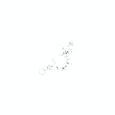 CO[C@]1(C)C[C@@H](C)CN(C)[C@H](C2CN(C3CCCCC3)C2)COC(=O)C(C)(C)C(=O)[C@H](C)[C@H]1O[C@@H]1O[C@H](C)C[C@H](N(C)C)[C@H]1O